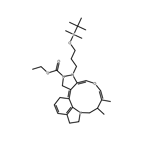 CCOC(=O)N1CC2=C3\CC=CC4=C3N(CC4)CC(C)/C(C)=C\O/C=C\2N1CCCO[Si](C)(C)C(C)(C)C